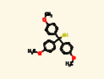 COc1ccc(C(S)(c2ccc(OC)cc2)c2ccc(OC)cc2)cc1